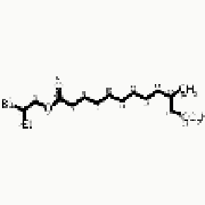 CCCCC(CC)COC(=O)CCCCCCCCC(C)CC(=O)O